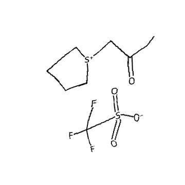 CC(=O)C[S+]1CCCC1.O=S(=O)([O-])C(F)(F)F